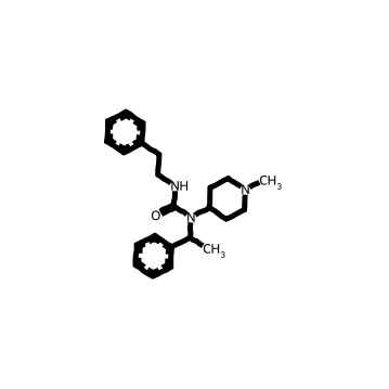 CC(c1ccccc1)N(C(=O)NCCc1ccccc1)C1CCN(C)CC1